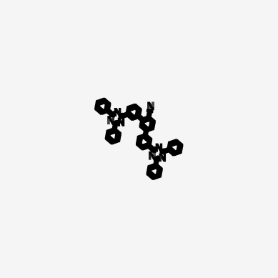 N#Cc1ccc(-c2cccc(-c3nc(-c4ccccc4)nc(-c4ccccc4)n3)c2)cc1-c1cccc(-c2nc(-c3ccccc3)nc(-c3ccccc3)n2)c1